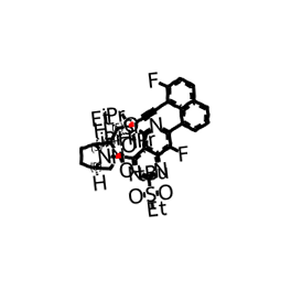 CC[C@@H]1Oc2nc(-c3cccc4ccc(F)c(C#C[Si](C(C)C)(C(C)C)C(C)C)c34)c(F)c3nc(S(=O)(=O)CC)nc(c23)N2C[C@H]3CC[C@@H]([C@@H]12)N3C(=O)OC(C)(C)C